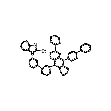 CCc1nc2ccccc2n1-c1cccc(-c2cccc(-c3c4ccccc4c(-c4ccc(-c5ccccc5)cc4)c4cc(-c5ccccc5)ccc34)c2)c1